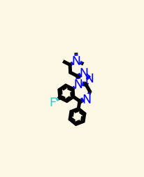 CC(Cc1nnc2n1-c1ccc(F)cc1C(c1ccccc1)=NC2)N(C)C